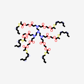 C=CC/C=C\CSC(C)C(=O)OCCOC(=O)CCN(CCC(=O)OCCOC(=O)C(C)SC/C=C\C/C=C\CC)CCN(CCN(CCC(=O)OCCOC(=O)C(C)SC/C=C\CC=C)CCC(=O)OCCOC(=O)C(C)SC/C=C\C/C=C\CC)CCN(CCC(=O)OCCOC(=O)C(C)SC/C=C\C/C=C\CC)CCC(=O)OCCOC(=O)C(C)SC/C=C\C/C=C\CC